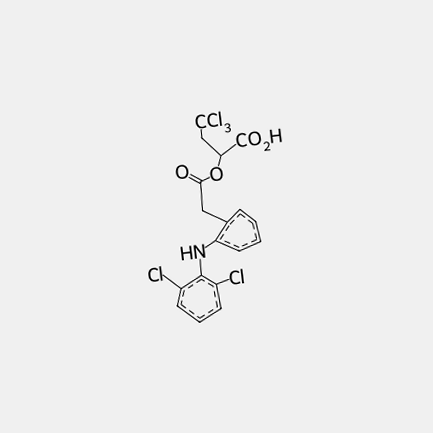 O=C(Cc1ccccc1Nc1c(Cl)cccc1Cl)OC(CC(Cl)(Cl)Cl)C(=O)O